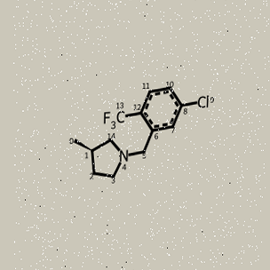 C[C@@H]1CCN(Cc2cc(Cl)ccc2C(F)(F)F)C1